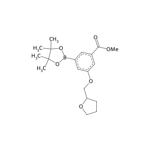 COC(=O)c1cc(OCC2CCCO2)cc(B2OC(C)(C)C(C)(C)O2)c1